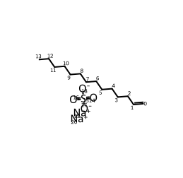 C=CCCCCCCCCCCCC.O=S(=O)([O-])[O-].[Na+].[Na+]